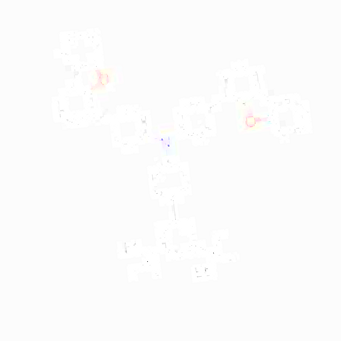 CCC(C)(C)c1cc(-c2ccc(N(c3ccc(-c4cccc5c4oc4ccccc45)cc3)c3ccc(-c4cccc5c4oc4ccccc45)cc3)cc2)cc(C(C)(C)CC)c1